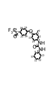 Cc1cc(NC(=O)Nc2ccccc2)ccc1Oc1ccc([S+]([O-])C(F)(F)F)cc1